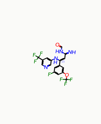 N=C(/C=C(\Nc1cncc(C(F)(F)F)c1)c1cc(F)cc(OC(F)(F)F)c1)NC=O